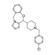 Clc1ccc(CN2CCC(C3Oc4ccccc4Cn4cccc43)CC2)cc1